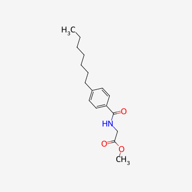 CCCCCCCc1ccc(C(=O)NCC(=O)OC)cc1